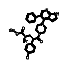 CC(C)N(C[C@@H](C(=O)N1CCN(c2c(-c3ccccc3)cnc3[nH]ccc23)CC1)c1ccc(Cl)cc1)C(=O)OC(C)(C)C